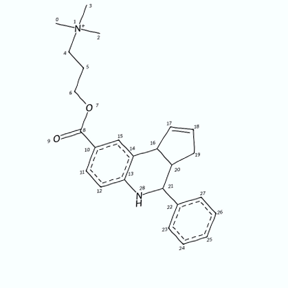 C[N+](C)(C)CCCOC(=O)c1ccc2c(c1)C1C=CCC1C(c1ccccc1)N2